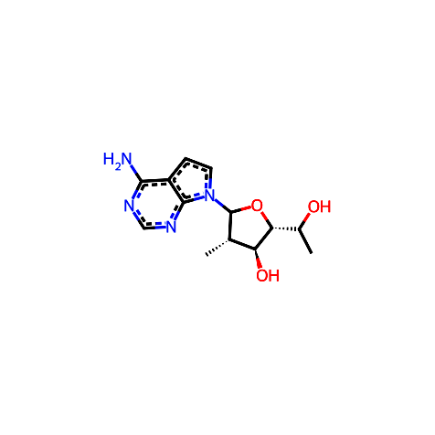 CC(O)[C@H]1OC(n2ccc3c(N)ncnc32)[C@@H](C)[C@@H]1O